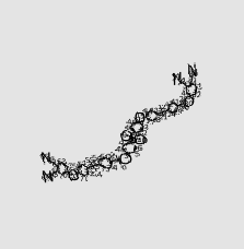 CC(C)(Oc1ccc(S(=O)(=O)c2ccc(Oc3ccc(C(C)(C)c4ccc(C(C)(C)Oc5ccc(C#N)c(C#N)c5)cc4)cc3)cc2)cc1)c1ccc(C(C)(C)c2ccc(Oc3ccc(C#N)c(C#N)c3)cc2)cc1